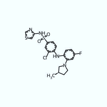 C[C@@H]1CCN(c2cc(F)ccc2Nc2ccc(S(=O)(=O)Nc3cscn3)cc2Cl)C1